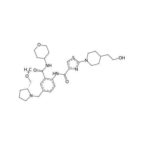 COC[C@H]1CCCN1Cc1ccc(NC(=O)c2csc(N3CCC(CCO)CC3)n2)c(C(=O)NC2CCOCC2)c1